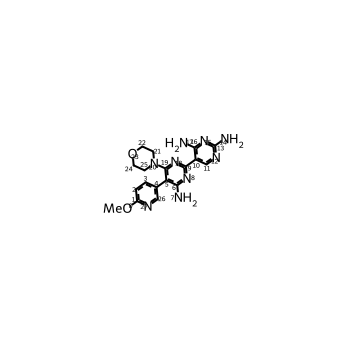 COc1ccc(-c2c(N)nc(-c3cnc(N)nc3N)nc2N2CCOCC2)cn1